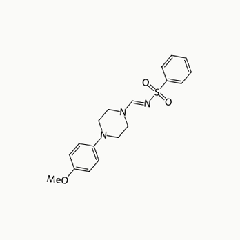 COc1ccc(N2CCN(C=NS(=O)(=O)c3ccccc3)CC2)cc1